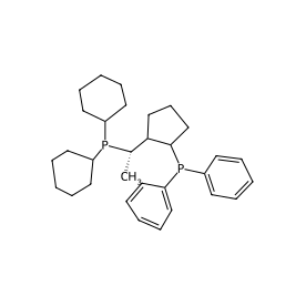 C[C@@H](C1CCCC1P(c1ccccc1)c1ccccc1)P(C1CCCCC1)C1CCCCC1